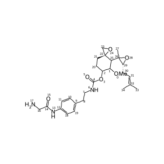 COC1C(OC(=O)NCCc2ccc(NC(=O)CN)cc2)CC[C@]2(CO2)C1C1(C)O[C@@H]1CC=C(C)C